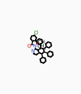 CC1(C)c2cc(Cl)ccc2C(=O)N1c1nccc2c(-c3ccccc3)c(-c3ccccc3)c(-c3ccccc3)c(-c3ccccc3)c12